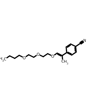 CCCCOCCOCCO/C=C(\C)c1ccc(C#N)cc1